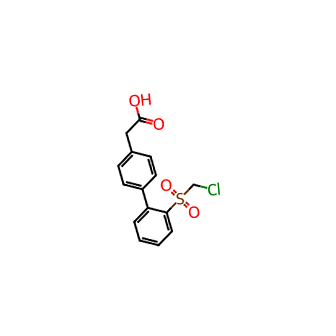 O=C(O)Cc1ccc(-c2ccccc2S(=O)(=O)CCl)cc1